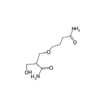 NC(=O)CCCOCC(CO)C(N)=O